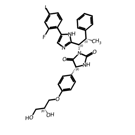 C[C@@H](c1ccccc1)[C@@H](c1ncc(-c2ccc(I)cc2F)[nH]1)N1C(=O)N[C@H](c2ccc(OC[C@H](O)CO)cc2)C1=O